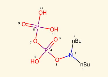 CCCCN(CCCC)OP(=O)(O)OP(=O)(O)O